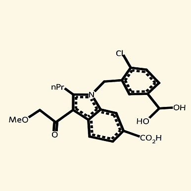 CCCc1c(C(=O)COC)c2ccc(C(=O)O)cc2n1Cc1cc(C(O)O)ccc1Cl